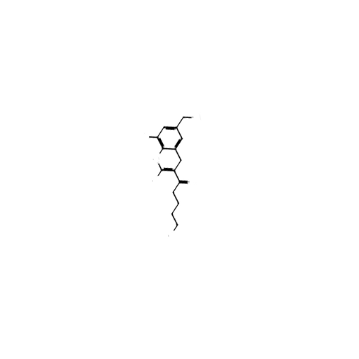 CCCCCC(=O)C1=C(C)Oc2c(C)cc(CC)cc2C1